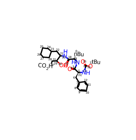 CCCC[C@H](NC(=O)[C@H](Cc1ccccc1)NC(=O)OC(C)(C)C)C(=O)NC(CC1CCCCC1)C(O)CC(=O)O